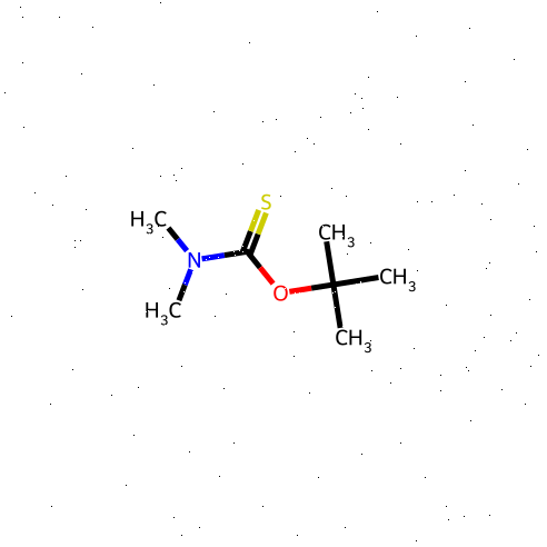 CN(C)C(=S)OC(C)(C)C